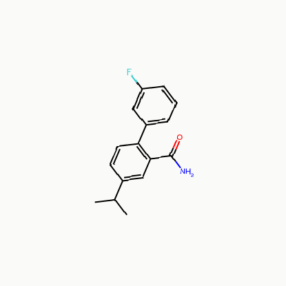 CC(C)c1ccc(-c2cccc(F)c2)c(C(N)=O)c1